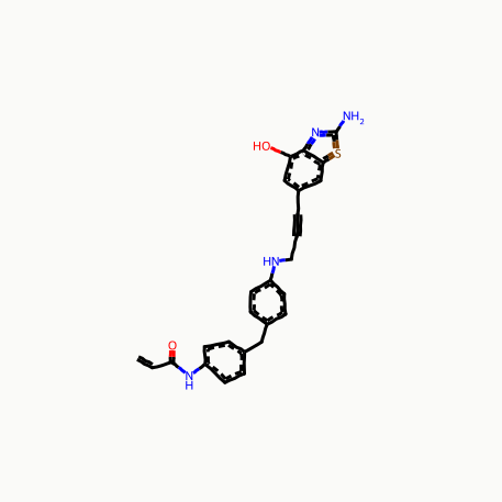 C=CC(=O)Nc1ccc(Cc2ccc(NCC#Cc3cc(O)c4nc(N)sc4c3)cc2)cc1